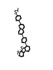 ISc1ccc(-c2ccc3cc(-c4ccc(-c5cccc6c5sc5ncccc56)cc4)ccc3c2)cc1